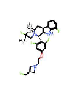 C[C@H]1Cc2c([nH]c3c(F)cccc23)[C@H](c2c(F)cc(OCCN3CC(CF)C3)cc2F)N1CC(C)(C)F